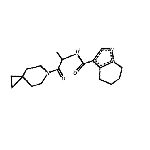 CC(NC(=O)c1cnn2c1CCCC2)C(=O)N1CCC2(CC1)CC2